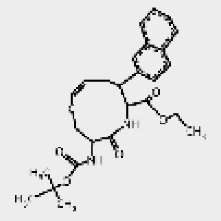 CCOC(=O)C1NC(=O)C(NC(=O)OC(C)(C)C)CC/C=C\CC1c1ccc2ccccc2c1